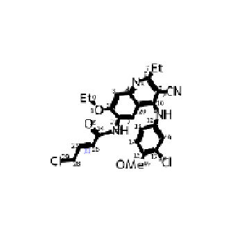 CCOc1cc2nc(CC)c(C#N)c(Nc3ccc(OC)c(Cl)c3)c2cc1NC(=O)/C=C/CCl